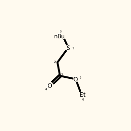 CCCCSCC(=O)OCC